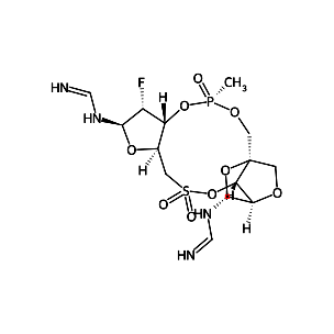 C[P@]1(=O)OC[C@@]23CO[C@@H]([C@H](NC=N)O2)[C@@H]3OS(=O)(=O)C[C@H]2O[C@@H](NC=N)[C@H](F)[C@@H]2O1